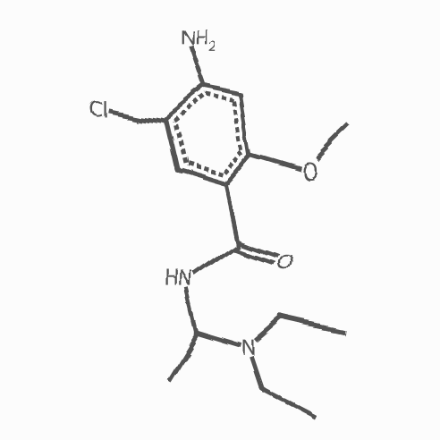 CCN(CC)C(C)NC(=O)c1cc(Cl)c(N)cc1OC